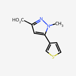 Cn1nc(C(=O)O)cc1-c1ccsc1